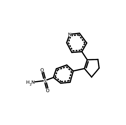 NS(=O)(=O)c1ccc(C2=C(c3ccncc3)CCC2)cc1